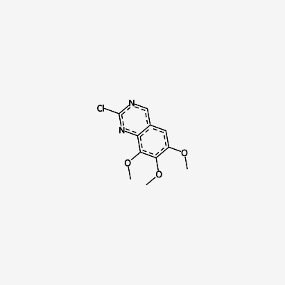 COc1cc2cnc(Cl)nc2c(OC)c1OC